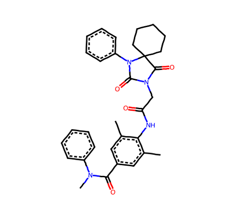 Cc1cc(C(=O)N(C)c2ccccc2)cc(C)c1NC(=O)CN1C(=O)N(c2ccccc2)C2(CCCCC2)C1=O